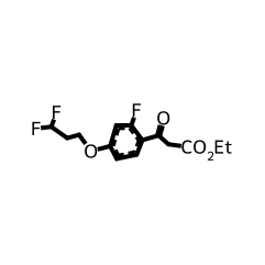 CCOC(=O)CC(=O)c1ccc(OCCC(F)F)cc1F